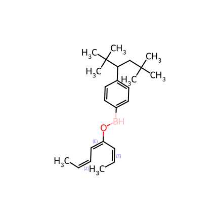 C\C=C/C=C(\C=C/C)OBc1ccc(C(CC(C)(C)C)C(C)(C)C)cc1